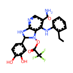 CCc1ccccc1Nc1c(C(N)=O)cnc2c1N(OC(=O)C(F)(F)F)C(c1ccc(O)c(O)c1)N2